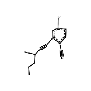 CCCC(C)C#Cc1cc(Br)ccc1C#N